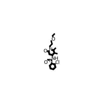 CCOCCCn1c(C)c(C)c(NN(C=O)c2ccccc2Cl)cc1=O